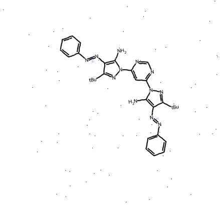 CC(C)(C)c1nn(-c2cc(-n3nc(C(C)(C)C)c(/N=N/c4ccccc4)c3N)ncn2)c(N)c1/N=N/c1ccccc1